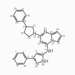 c1ccc(-c2cc(Nc3nc(N4CCC(c5ccccc5)C4)nc4cccn34)[nH]n2)cc1